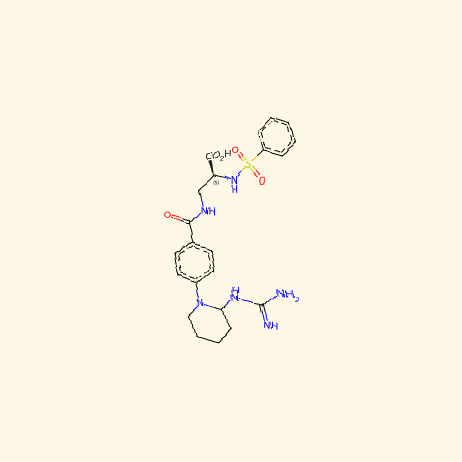 N=C(N)NC1CCCCN1c1ccc(C(=O)NC[C@H](NS(=O)(=O)c2ccccc2)C(=O)O)cc1